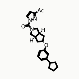 CC(=O)c1ccn(C(=O)N2C[C@H]3C[C@H](Oc4cccc(C5CCCC5)c4)C[C@H]3C2)n1